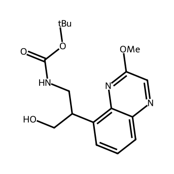 COc1cnc2cccc(C(CO)CNC(=O)OC(C)(C)C)c2n1